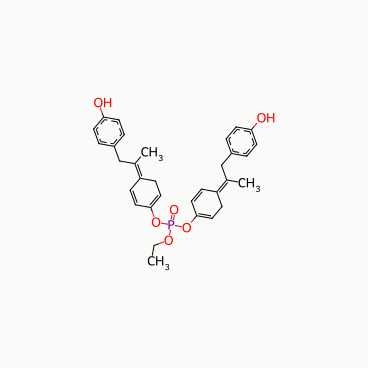 CCOP(=O)(OC1=CCC(=C(C)Cc2ccc(O)cc2)C=C1)OC1=CCC(=C(C)Cc2ccc(O)cc2)C=C1